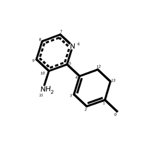 CC1=CC=C(c2ncccc2N)CC1